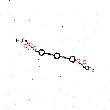 C=CC(=O)COc1ccc(C#Cc2ccc(C#Cc3ccc(COCOC(=O)C=C)cc3)cc2)cc1